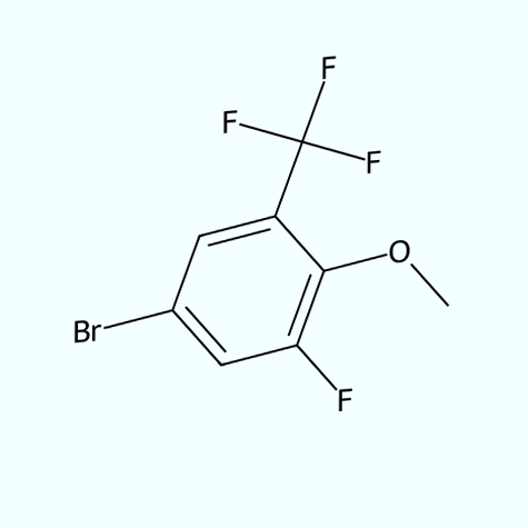 COc1c(F)cc(Br)cc1C(F)(F)F